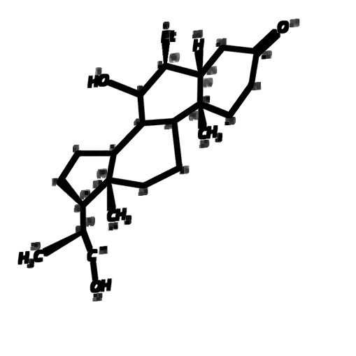 CC[C@H]1C(O)C2C3CC[C@H]([C@H](C)CO)[C@@]3(C)CCC2[C@@]2(C)CCC(=O)C[C@@H]12